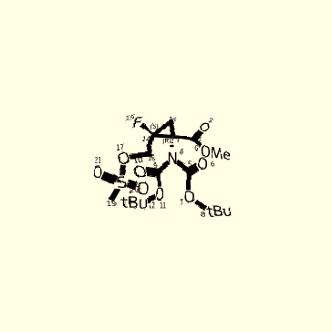 COC(=O)[C@]1(N(C(=O)OC(C)(C)C)C(=O)OC(C)(C)C)C[C@@]1(F)COS(C)(=O)=O